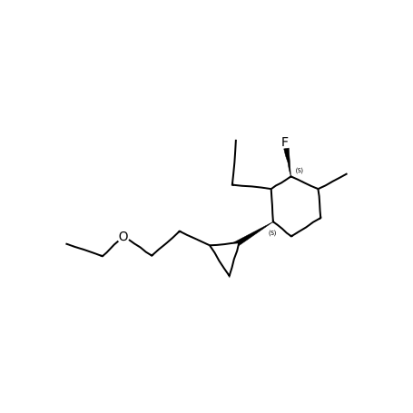 CCOCCC1CC1[C@@H]1CCC(C)[C@H](F)C1CC